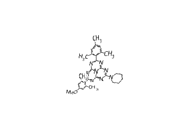 COc1cc(C)c(C2=NC3=NC(N4CCCCC4)=NC4=NC(c5c(C)cc(C)cc5C)=NC(=N2)N43)c(C)c1